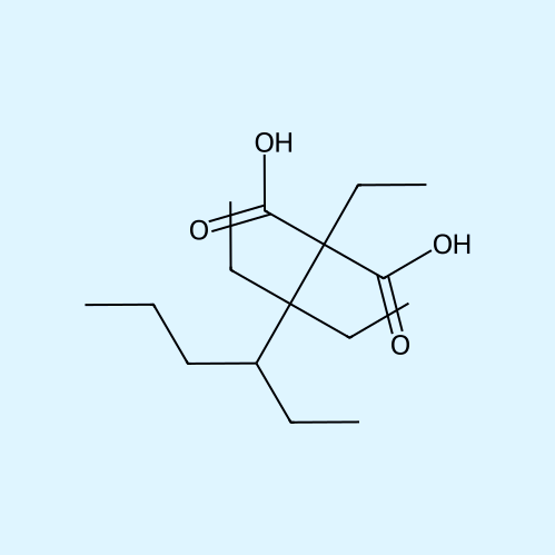 CCCC(CC)C(CC)(CC)C(CC)(C(=O)O)C(=O)O